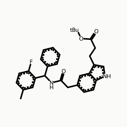 Cc1ccc(F)c(C(NC(=O)Cc2ccc3[nH]cc(CCC(=O)OC(C)(C)C)c3c2)c2ccccc2)c1